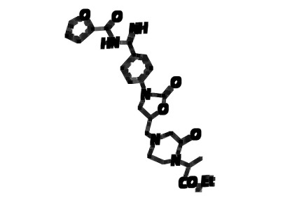 CCOC(=O)C(C)N1CCN(CC2CN(c3ccc(C(=N)NC(=O)c4ccco4)cc3)C(=O)O2)CC1=O